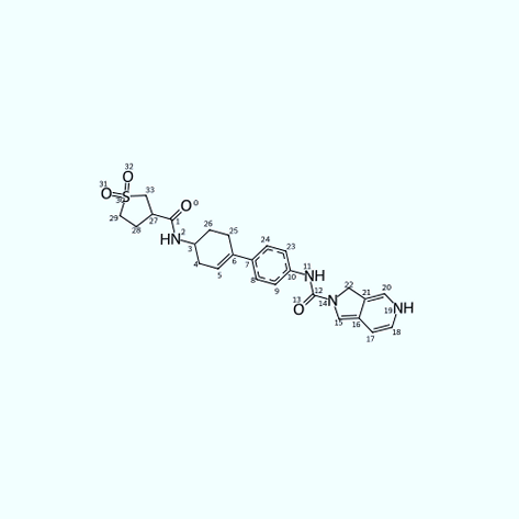 O=C(NC1CC=C(c2ccc(NC(=O)N3C=C4C=CNC=C4C3)cc2)CC1)C1CCS(=O)(=O)C1